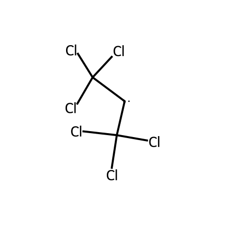 ClC(Cl)(Cl)[CH]C(Cl)(Cl)Cl